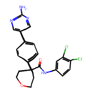 Nc1ncc(-c2ccc(C3(C(=O)Nc4ccc(Cl)c(Cl)c4)CCOCC3)cc2)cn1